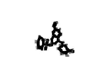 N#Cc1ccc2c(c1)C[C@H](NS(=O)(=O)c1ccccc1)CN2Cc1cccc(Cl)c1